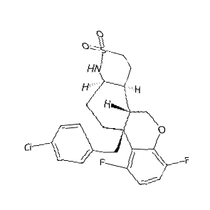 O=S1(=O)CC[C@@H]2[C@@H](CC[C@@]3(Cc4ccc(Cl)cc4)c4c(F)ccc(F)c4OC[C@@H]23)N1